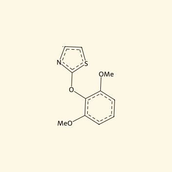 COc1cccc(OC)c1Oc1n[c]cs1